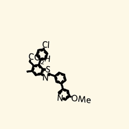 COc1cncc(-c2cccc(-c3nc4cc(C)c(CC(=O)O)c(-c5ccc(Cl)cc5)c4s3)c2)c1